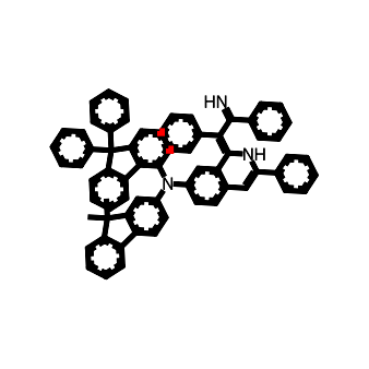 CC1(C)c2ccccc2-c2ccc(N(c3ccc4c(c3)/C(=C(/C(=N)c3ccccc3)c3ccccc3)NC(c3ccccc3)=C4)c3cccc4c3-c3ccccc3C4(c3ccccc3)c3ccccc3)cc21